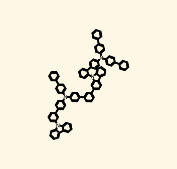 c1ccc(-c2ccc(N(c3ccc(-c4cccc(-c5ccc6c7ccccc7n(-c7ccccc7-c7ccc(N(c8ccc(-c9ccccc9)cc8)c8ccc(-c9ccccc9)cc8)cc7)c6c5)c4)cc3)c3ccc(-c4cccc(-n5c6ccccc6c6ccccc65)c4)cc3)cc2)cc1